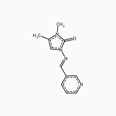 Cc1cn(/N=C/c2cccnc2)c(=O)n1C